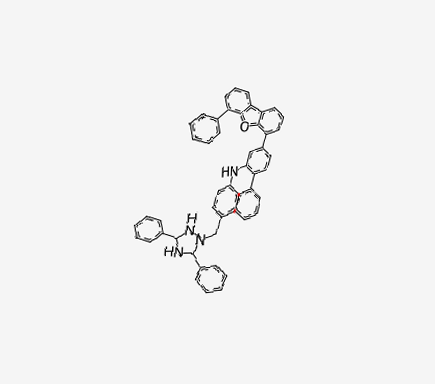 c1ccc(-c2ccc(-c3cccc4c3oc3c(-c5ccccc5)cccc34)cc2Nc2ccc(CN3NC(c4ccccc4)NC3c3ccccc3)cc2)cc1